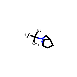 CCC(C)(C)N1CC2CCC1C2